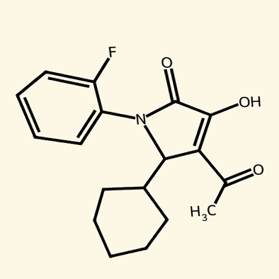 CC(=O)C1=C(O)C(=O)N(c2ccccc2F)C1C1CCCCC1